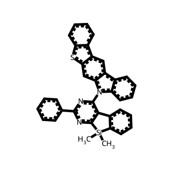 C[Si]1(C)c2ccccc2-c2c(-n3c4ccccc4c4cc5c(cc43)sc3ccccc35)nc(-c3ccccc3)nc21